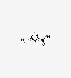 Cc1nc(C(=O)S)cs1